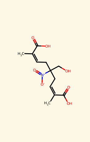 CC(=CCC(CO)(CC=C(C)C(=O)O)[N+](=O)[O-])C(=O)O